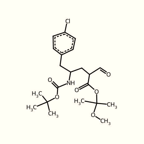 COC(C)(C)OC(=O)C(C=O)CC(Cc1ccc(Cl)cc1)NC(=O)OC(C)(C)C